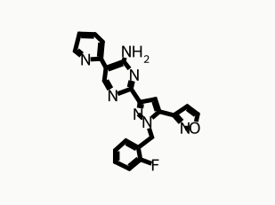 Nc1nc(-c2cc(-c3ccon3)n(Cc3ccccc3F)n2)ncc1-c1ccccn1